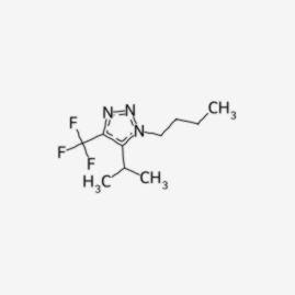 CCCCn1nnc(C(F)(F)F)c1C(C)C